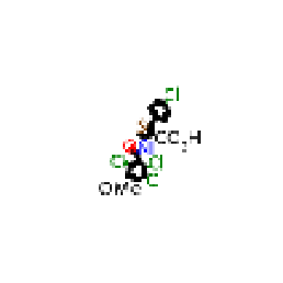 COc1cc(Cl)c(C(=O)Nc2csc(-c3ccc(Cl)cc3)c2C(=O)O)c(Cl)c1Cl